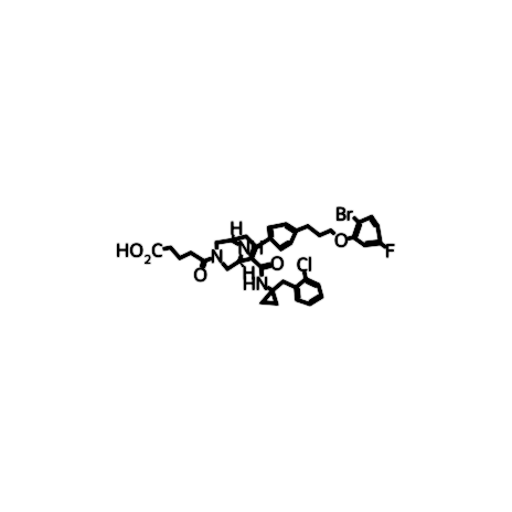 O=C(O)CCCC(=O)N1C[C@H]2CC(c3ccc(CCCOc4cc(F)ccc4Br)cc3)=C(C(=O)NC3(Cc4ccccc4Cl)CC3)[C@@H](C1)N2